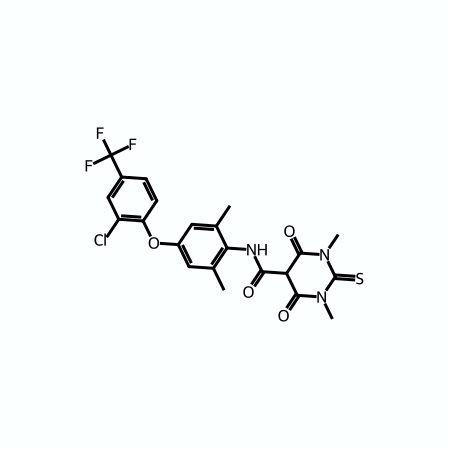 Cc1cc(Oc2ccc(C(F)(F)F)cc2Cl)cc(C)c1NC(=O)C1C(=O)N(C)C(=S)N(C)C1=O